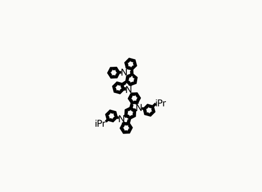 CC(C)c1cccc(-n2c3ccccc3c3cc4c(cc32)c2cc(-n3c5ccccc5c5c3ccc3c6ccccc6n(-c6ccccc6)c35)ccc2n4-c2cccc(C(C)C)c2)c1